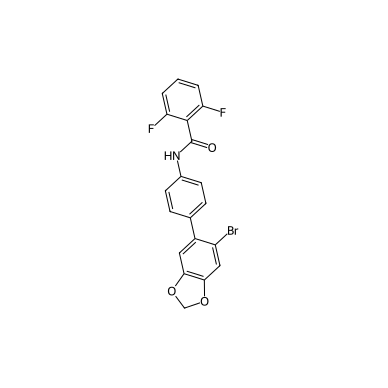 O=C(Nc1ccc(-c2cc3c(cc2Br)OCO3)cc1)c1c(F)cccc1F